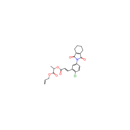 C=CCOC(=O)C(C)OC(=O)C=Cc1cc(N2C(=O)C3=C(CCCC3)C2=O)ccc1Cl